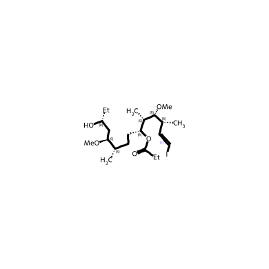 CCC(=O)O[C@H](CC[C@H](C)[C@H](C[C@H](O)CC)OC)[C@H](C)[C@H](OC)[C@H](C)/C=C/I